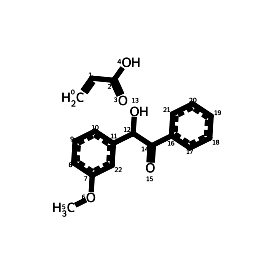 C=CC(=O)O.COc1cccc(C(O)C(=O)c2ccccc2)c1